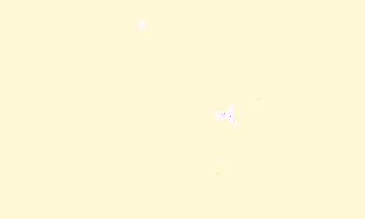 CCCCCCCC/C=C\CCCCCCC(NCCO[SH](=O)=O)C(C)=O